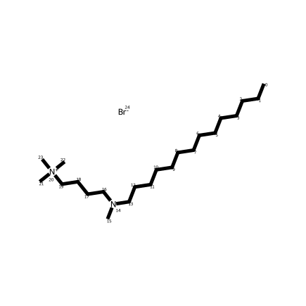 CCCCCCCCCCCCCCN(C)CCCC[N+](C)(C)C.[Br-]